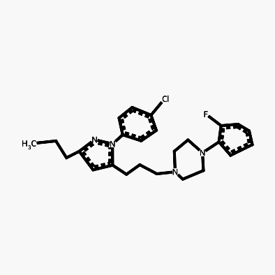 CCCc1cc(CCCN2CCN(c3ccccc3F)CC2)n(-c2ccc(Cl)cc2)n1